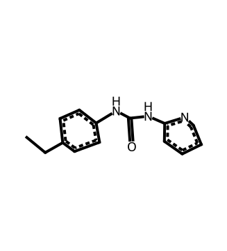 CCc1ccc(NC(=O)Nc2ccccn2)cc1